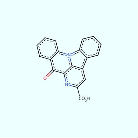 O=C(O)c1cc2c3ccccc3n3c4ccccc4c(=O)c(n1)c23